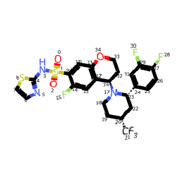 O=S(=O)(Nc1nccs1)c1cc2c(cc1F)[C@H](N1CC[C@@H](C(F)(F)F)C[C@H]1c1ccc(F)c(F)c1)CCO2